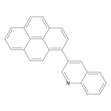 c1ccc2ncc(-c3ccc4ccc5cccc6ccc3c4c56)cc2c1